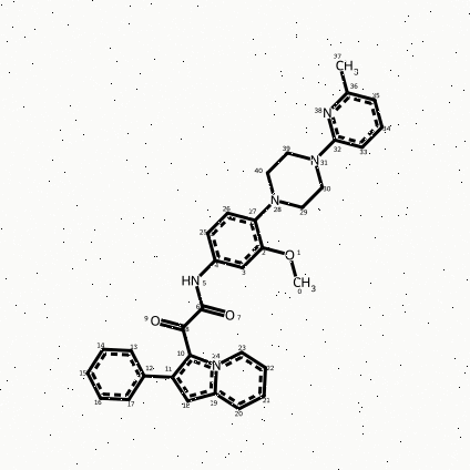 COc1cc(NC(=O)C(=O)c2c(-c3ccccc3)cc3ccccn23)ccc1N1CCN(c2cccc(C)n2)CC1